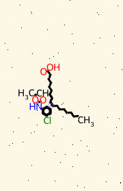 CC(C)OC(=O)Nc1cccc(Cl)c1.CCCCCCCC/C=C\CCCCCCCC(=O)O